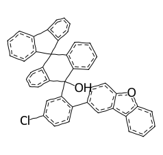 OC1(c2cc(Cl)ccc2-c2ccc3oc4ccccc4c3c2)c2ccccc2C2(c3ccccc3-c3ccccc32)c2ccccc21